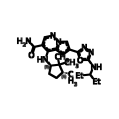 CCC(CC)Nc1nnc(-c2cc3c(N[C@@H]4CC[C@@H](C)C4(C)C)c(C(N)=O)cnn3c2)o1